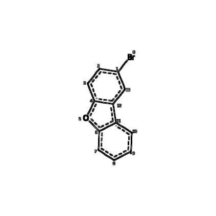 Brc1ccc2oc3cc[c]cc3c2c1